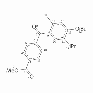 COC(=O)c1ccc(C(=O)c2cc(C(C)C)c(OCC(C)C)cc2C)cc1